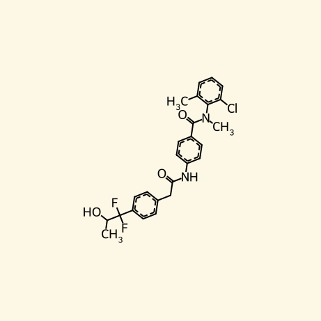 Cc1cccc(Cl)c1N(C)C(=O)c1ccc(NC(=O)Cc2ccc(C(F)(F)C(C)O)cc2)cc1